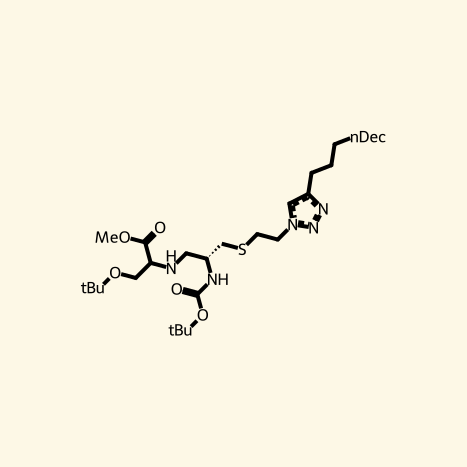 CCCCCCCCCCCCCc1cn(CCSC[C@@H](CNC(COC(C)(C)C)C(=O)OC)NC(=O)OC(C)(C)C)nn1